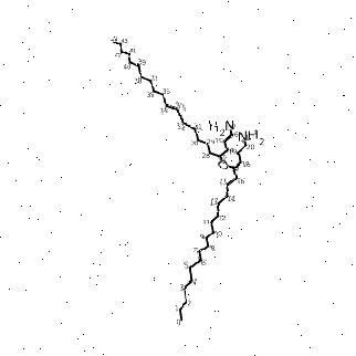 CCCCCCCCCCCCCCCCCC(CCCN)OC(CCCN)CCCCCCCCCCCCCCCCC